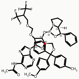 COc1ccc(C(OC[C@H]2O[C@@H](n3cnc4c(NC(C)=O)ncnc43)C(OCOCC(C(F)(F)F)C(F)(F)F)[C@H]2O[P@]2O[C@H](c3ccccc3)[C@@H]3CCCN32)(c2ccccc2)c2ccc(C)cc2)cc1